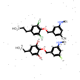 CCNc1cc(C#N)cc(COc2c(Cl)cc(CCC(=O)O)cc2Cl)c1.CCNc1cc(F)cc(COc2c(Br)cc(CC(=O)O)cc2Br)c1